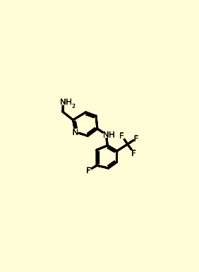 NCc1ccc(Nc2cc(F)ccc2C(F)(F)F)cn1